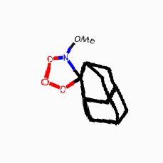 CON1OOOC12C1CC3CC(C1)CC2C3